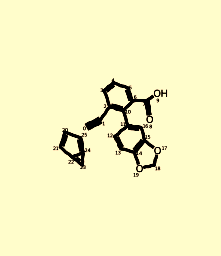 C#Cc1cccc(C(=O)O)c1-c1ccc2c(c1)OCO2.c1cc2cc-2c1